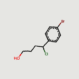 OCCCC(Cl)c1ccc(Br)cc1